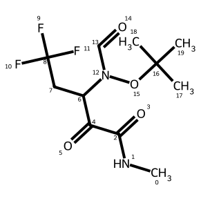 CNC(=O)C(=O)C(CC(F)(F)F)N(C=O)OC(C)(C)C